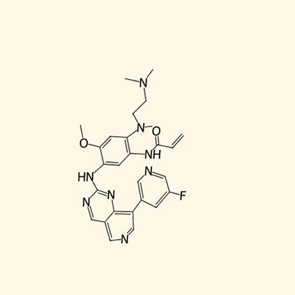 C=CC(=O)Nc1cc(Nc2ncc3cncc(-c4cncc(F)c4)c3n2)c(OC)cc1N(C)CCN(C)C